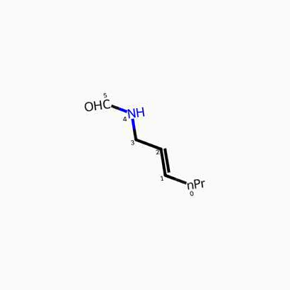 CCCC=CCNC=O